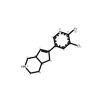 Clc1cc(C2=CC3CNCCC3C2)cnc1Cl